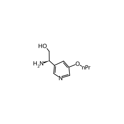 CCCOc1cncc([C@@H](N)CO)c1